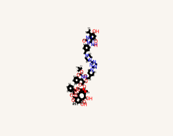 CC(=O)O[C@@]12CO[C@@H]1C[C@H](O)[C@@]1(C)C(=O)[C@H](O)C3=C(C)[C@@H](OC(=O)[C@H](OC(=O)CC4CCN(c5ncnc(N6CCN(Cc7ccc(N(C(=N)c8cc(C(C)C)c(O)cc8O)C(N)=O)cc7)CC6)n5)CC4)[C@@H](NC(=O)OC(C)(C)C)c4ccccc4)C[C@@](O)([C@@H](OC(=O)c4ccccc4)C12)C3(C)C